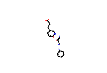 N/C=C(/C=N/c1ccccc1)Oc1ccc(CCC(=O)O)cc1